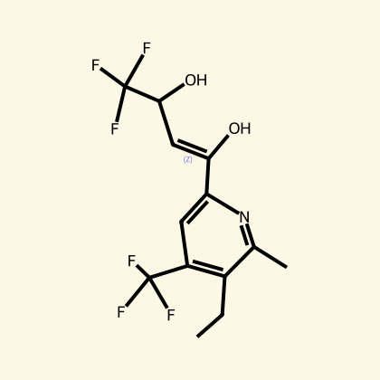 CCc1c(C(F)(F)F)cc(/C(O)=C/C(O)C(F)(F)F)nc1C